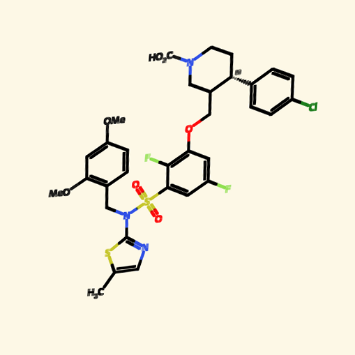 COc1ccc(CN(c2ncc(C)s2)S(=O)(=O)c2cc(F)cc(OCC3CN(C(=O)O)CC[C@@H]3c3ccc(Cl)cc3)c2F)c(OC)c1